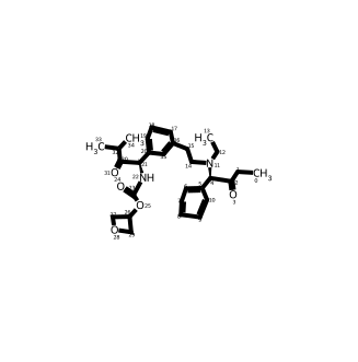 CCC(=O)[C@@H](c1ccccc1)N(CC)CCc1cccc([C@@H](NC(=O)OC2COC2)C(=O)C(C)C)c1